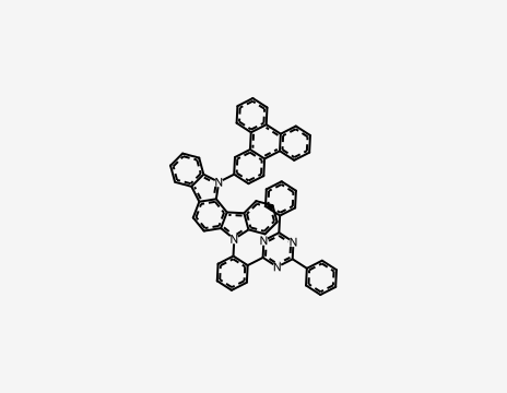 c1ccc(-c2nc(-c3ccccc3)nc(-c3ccccc3-n3c4ccccc4c4c3ccc3c5ccccc5n(-c5ccc6c7ccccc7c7ccccc7c6c5)c34)n2)cc1